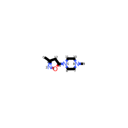 CC1=NOC(N2CCN(C)CC2)C1